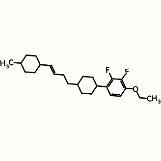 CCOc1ccc(C2CCC(CC/C=C/C3CCC(C)CC3)CC2)c(F)c1F